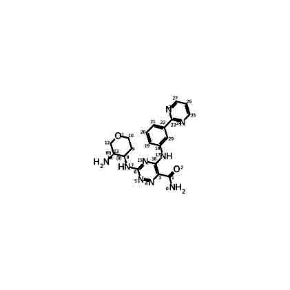 NC(=O)c1nnc(N[C@@H]2CCOC[C@@H]2N)nc1Nc1cccc(-c2ncccn2)c1